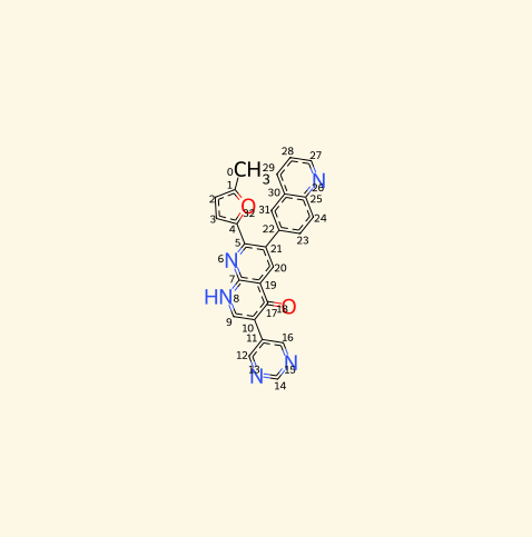 Cc1ccc(-c2nc3[nH]cc(-c4cncnc4)c(=O)c3cc2-c2ccc3ncccc3c2)o1